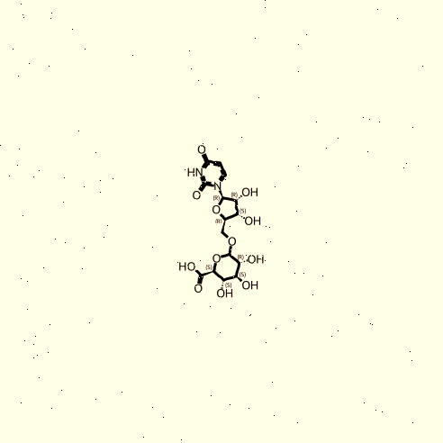 O=C(O)[C@H]1OC(OC[C@H]2O[C@@H](n3ccc(=O)[nH]c3=O)[C@H](O)[C@@H]2O)[C@H](O)[C@@H](O)[C@@H]1O